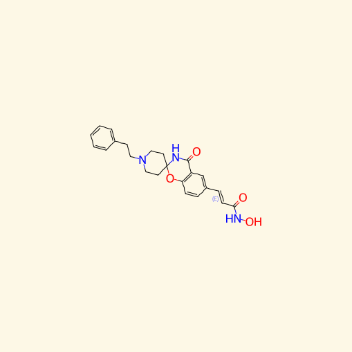 O=C(/C=C/c1ccc2c(c1)C(=O)NC1(CCN(CCc3ccccc3)CC1)O2)NO